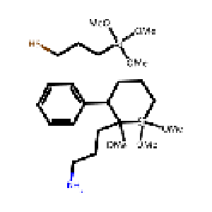 COC1(CCCN)C(c2ccccc2)CCC[Si]1(OC)OC.CO[Si](CCCS)(OC)OC